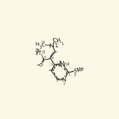 CSc1nccc(C(=CN(C)C)C(=O)C(C)C)n1